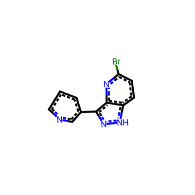 Brc1ccc2[nH]nc(-c3cccnc3)c2n1